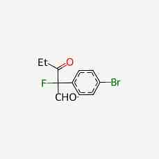 CCC(=O)C(F)([C]=O)c1ccc(Br)cc1